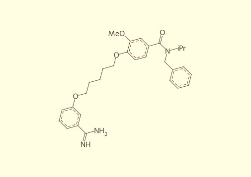 COc1cc(C(=O)N(Cc2ccccc2)C(C)C)ccc1OCCCCCOc1cccc(C(=N)N)c1